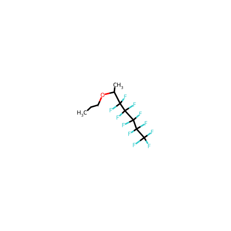 CC[CH]OC(C)C(F)(F)C(F)(F)C(F)(F)C(F)(F)C(F)(F)F